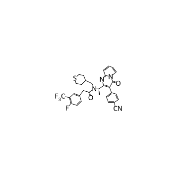 C[C@H](c1nc2ccccn2c(=O)c1-c1ccc(C#N)cc1)N(CC1CCSCC1)C(=O)Cc1ccc(F)c(C(F)(F)F)c1